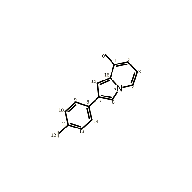 Cc1cccn2cc(-c3ccc(I)cc3)cc12